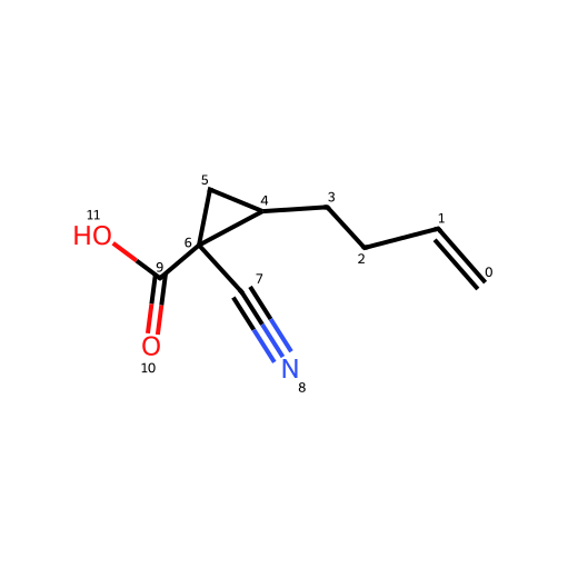 C=CCCC1CC1(C#N)C(=O)O